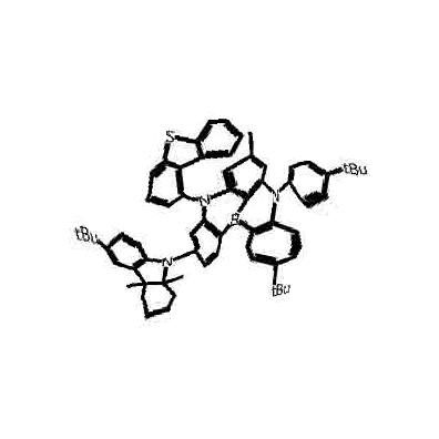 Cc1cc2c3c(c1)N(c1cccc4sc5ccccc5c14)c1cc(N4c5ccc(C(C)(C)C)cc5C5(C)CCCCC45C)ccc1B3c1cc(C(C)(C)C)ccc1N2c1ccc(C(C)(C)C)cc1